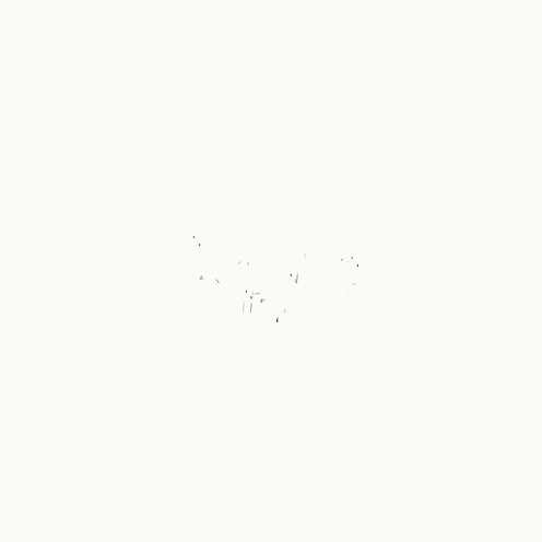 Cc1ccc(N2C[C@@H](C)[C@@H](NC(=O)C[C@H]3CCN(C)C3)C2)c2cccnc12